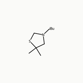 CCC(C)N1CSC(C)(C)C1